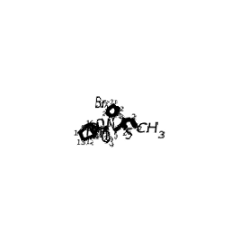 Cc1ccc(CN(C(=O)OC2CC3CCC(C2)[N+]3(C)C)c2ccccc2)s1.[Br-]